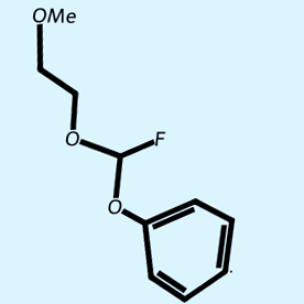 COCCOC(F)Oc1cc[c]cc1